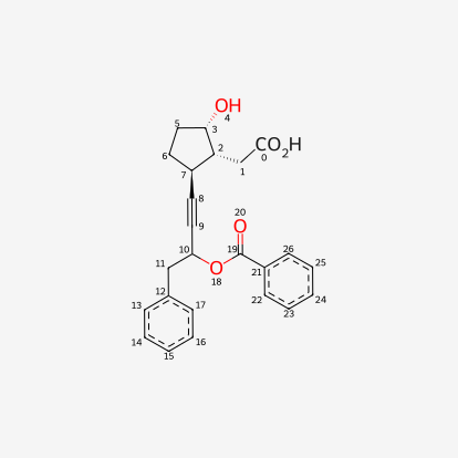 O=C(O)C[C@H]1[C@@H](O)CC[C@@H]1C#CC(Cc1ccccc1)OC(=O)c1ccccc1